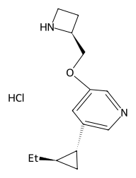 CC[C@@H]1C[C@H]1c1cncc(OC[C@@H]2CCN2)c1.Cl